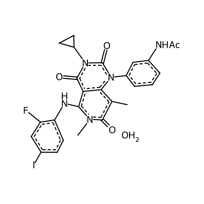 CC(=O)Nc1cccc(-n2c(=O)n(C3CC3)c(=O)c3c(Nc4ccc(I)cc4F)n(C)c(=O)c(C)c32)c1.O